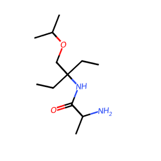 CCC(CC)(COC(C)C)NC(=O)C(C)N